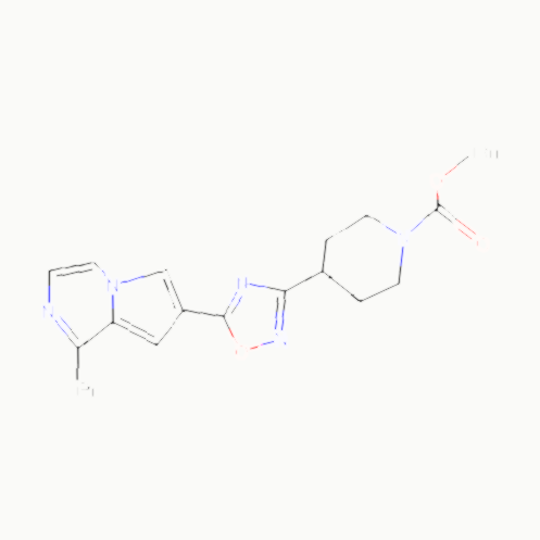 CC(C)c1nccn2cc(-c3nc(C4CCN(C(=O)OC(C)(C)C)CC4)no3)cc12